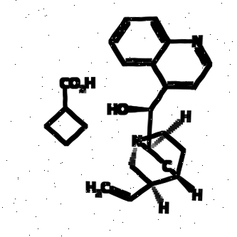 C=C[C@H]1C[N@]2CC[C@H]1C[C@@H]2[C@@H](O)c1ccnc2ccccc12.O=C(O)C1CCC1